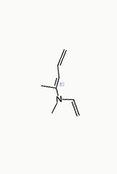 C=C/C=C(\C)N(C)C=C